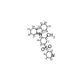 Cc1cc(S(=O)(=O)c2cccnc2)ccc1-n1c2ccccc2c2ccccc21